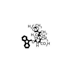 C=C([C@H]1COC(C)(C)O1)C(C)(C)O[C@@H](C)[C@H](NC(=O)OCC1c2ccccc2-c2ccccc21)C(=O)O